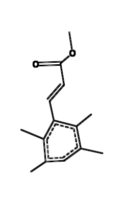 COC(=O)/C=C/c1c(C)c(C)cc(C)c1C